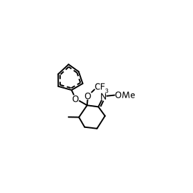 CO/N=C1\CCCC(C)C1(Oc1ccccc1)OC(F)(F)F